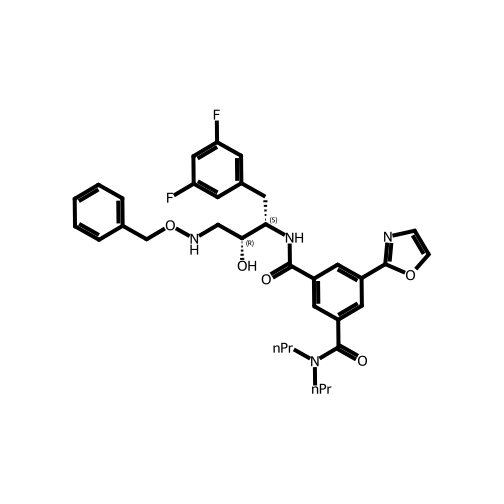 CCCN(CCC)C(=O)c1cc(C(=O)N[C@@H](Cc2cc(F)cc(F)c2)[C@H](O)CNOCc2ccccc2)cc(-c2ncco2)c1